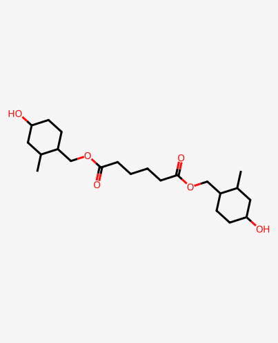 CC1CC(O)CCC1COC(=O)CCCCC(=O)OCC1CCC(O)CC1C